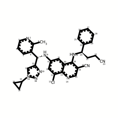 Cc1ncccc1[C@H](Nc1cc(Cl)c2ncc(C#N)c(N[C@H](CCC#N)c3ccccc3)c2c1)c1cn(C2CC2)nn1